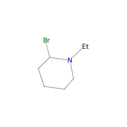 CCN1CCCCC1Br